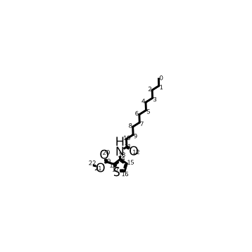 CCCCCCCCCCCC(=O)Nc1ccsc1C(=O)OC